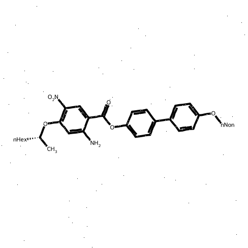 CCCCCCCCCOc1ccc(-c2ccc(OC(=O)c3cc([N+](=O)[O-])c(O[C@H](C)CCCCCC)cc3N)cc2)cc1